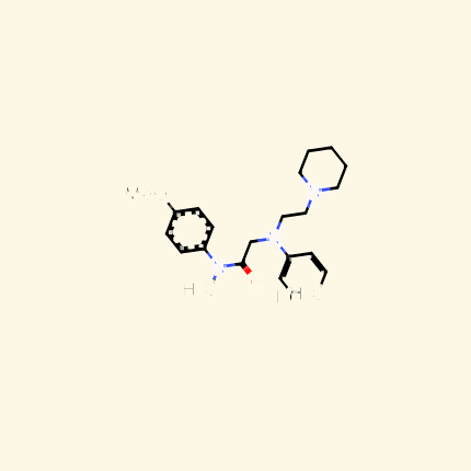 C/C=C\C(=C/C)N(CCN1CCCCC1)CC(=O)N(C)c1ccc(OC)cc1